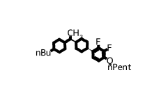 CCCCCOc1ccc([C@H]2CC[C@H](C(C)C3CCC(CCCC)CC3)CC2)c(F)c1F